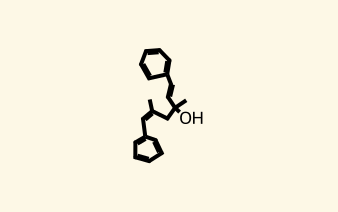 CC(=Cc1ccccc1)CC(C)(O)C=Cc1ccccc1